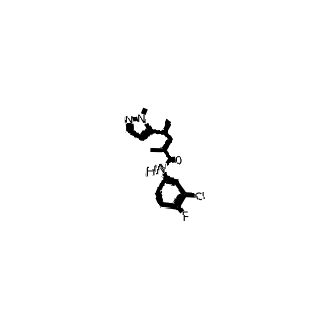 C=C(/C=C(\C)C(=O)Nc1ccc(F)c(Cl)c1)c1ccnn1C